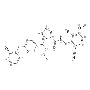 COCC(c1ccc(Cn2ccccc2=O)cc1)c1n[nH]cc1C(=O)NCc1c(C#N)ccc(OC)c1F